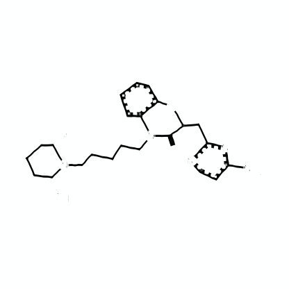 C[C@@H]1CCC[C@H](C)N1CCCCCN1C(=O)C(Cc2nccc(N)n2)Oc2ccccc21